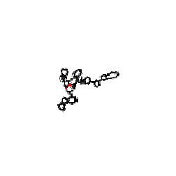 c1cc(-c2ccc(N(c3cccc(-c4cccc5c4ccc4ccccc45)c3)c3ccccc3-c3cccc4oc5ccccc5c34)cc2)cc(-c2ccc3ccccc3c2)c1